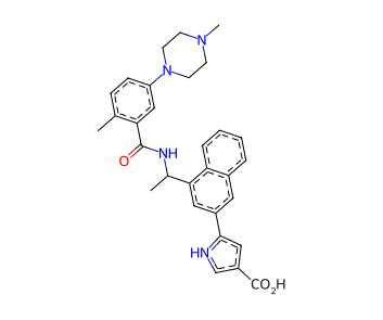 Cc1ccc(N2CCN(C)CC2)cc1C(=O)NC(C)c1cc(-c2cc(C(=O)O)c[nH]2)cc2ccccc12